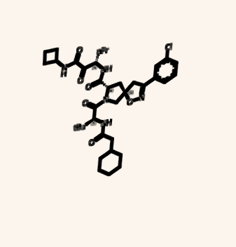 CCC[C@H](NC(=O)[C@@H]1C[C@]2(CC(c3cccc(Cl)c3)=NO2)CN1C(=O)[C@@H](NC(=O)CC1CCCCC1)C(C)(C)C)C(=O)C(=O)NC1CCC1